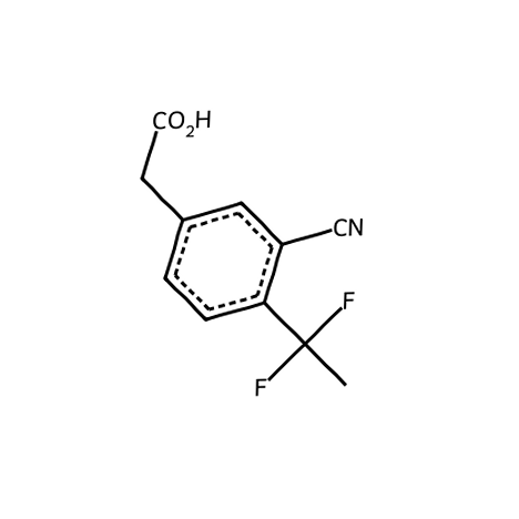 CC(F)(F)c1ccc(CC(=O)O)cc1C#N